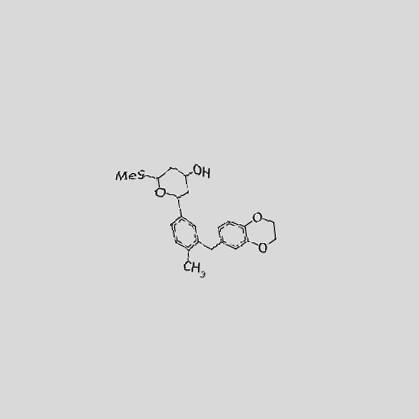 CSC1CC(O)CC(c2ccc(C)c(Cc3ccc4c(c3)OCCO4)c2)O1